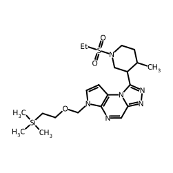 CCS(=O)(=O)N1CCC(C)C(c2nnc3cnc4c(ccn4COCC[Si](C)(C)C)n23)C1